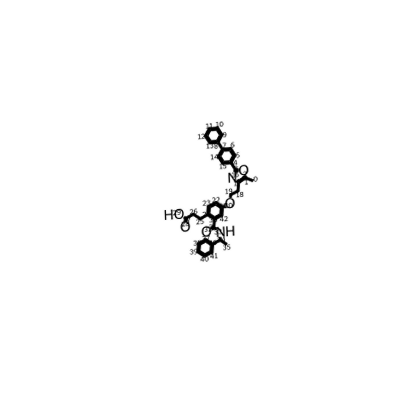 Cc1oc(-c2ccc(-c3ccccc3)cc2)nc1CCOc1ccc(CCC(=O)O)c(C(=O)NC(C)c2ccccc2)c1